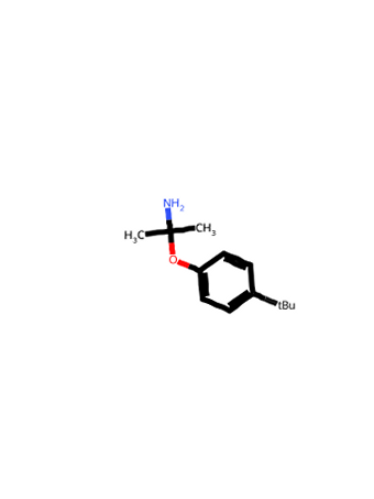 CC(C)(N)Oc1ccc(C(C)(C)C)cc1